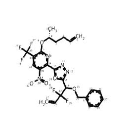 C=CCC[C@@H](C)Oc1nc(-c2nnc(C(OCc3ccccc3)C(F)(F)C=C)o2)c([N+](=O)[O-])cc1C(F)(F)F